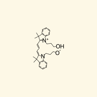 COCCCN1/C(=C\C=C\C2=[N+](CCCO)c3ccccc3C2(C)C)C(C)(C)c2ccccc21